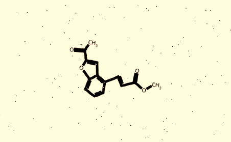 COC(=O)C=Cc1cccc2oc(C(C)=O)cc12